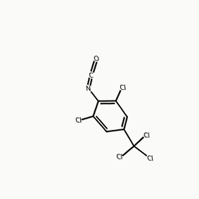 O=C=Nc1c(Cl)cc(C(Cl)(Cl)Cl)cc1Cl